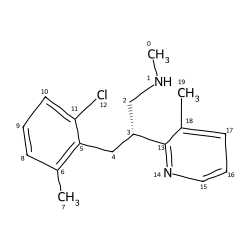 CNC[C@@H](Cc1c(C)cccc1Cl)c1ncccc1C